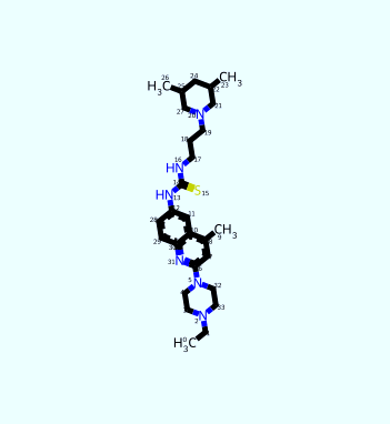 CCN1CCN(c2cc(C)c3cc(NC(=S)NCCCN4CC(C)CC(C)C4)ccc3n2)CC1